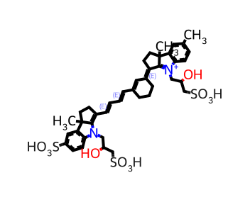 Cc1ccc2c(c1)C1(C)CC/C(=C3C=C(/C=C/C=C/C4=C5N(CC(O)CS(=O)(=O)O)c6ccc(S(=O)(=O)O)cc6C5(C)CC4)CCC\3)C1=[N+]2CC(O)CS(=O)(=O)O